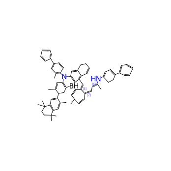 CC1=CC2=C(Bc3c(cc4c(c3\C=C3/C=CC(C)C=C/C3=C/C=C(\C)NC3=CC=C(c5ccccc5)CC3)C=CCC4)N2c2ccc(-c3ccccc3)cc2C)CC1c1cc2c(cc1C)C(C)(C)CCC2(C)C